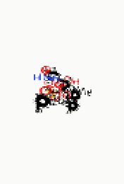 CO[C@H]1[C@H](O)[C@H](n2ccc(=O)[nH]c2=O)O[C@@]1(CO[Si](c1ccccc1)(c1ccccc1)C(C)(C)C)COS(=O)(=O)c1ccc(C)cc1